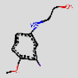 COc1ccc(NCCO)cc1I